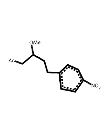 COC(CCc1ccc([N+](=O)[O-])cc1)CC(C)=O